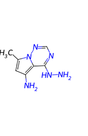 Cc1cc(N)c2c(NN)ncnn12